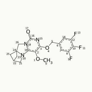 COc1c(OCc2cc(F)c(F)c(F)c2)nc(=O)n2c1N1CC3CC1(C3)C2